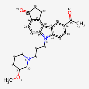 COC1CCCN(CCCn2c3ccc(C(C)=O)cc3c3c4c(ccc32)C(=O)CC4)C1